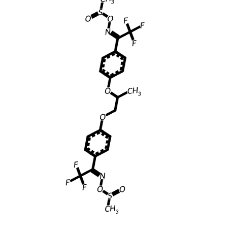 CC(COc1ccc(/C(=N/OS(C)=O)C(F)(F)F)cc1)Oc1ccc(/C(=N/OS(C)=O)C(F)(F)F)cc1